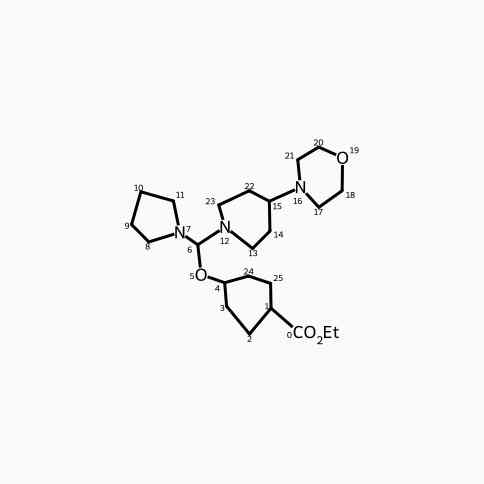 CCOC(=O)C1CCC(OC(N2CCCC2)N2CCC(N3CCOCC3)CC2)CC1